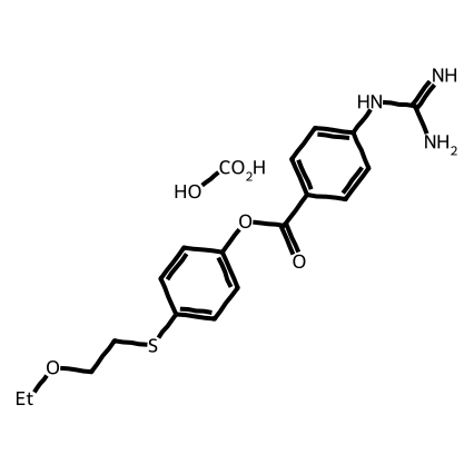 CCOCCSc1ccc(OC(=O)c2ccc(NC(=N)N)cc2)cc1.O=C(O)O